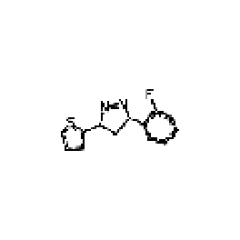 Fc1ccccc1C1CC(c2cccs2)N=N1